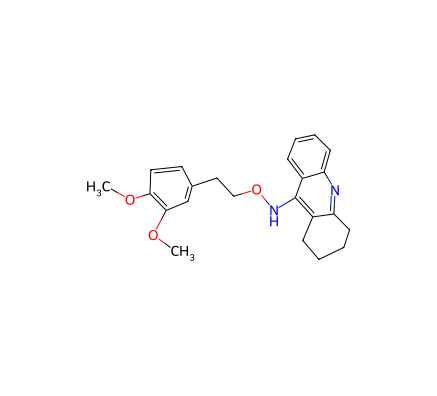 COc1ccc(CCONc2c3c(nc4ccccc24)CCCC3)cc1OC